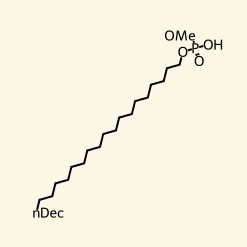 CCCCCCCCCCCCCCCCCCCCCCCCCCCCOP(=O)(O)OC